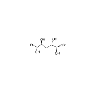 C[CH]C[C@@H](O)[C@@H](O)C[C@H](O)C(O)CC